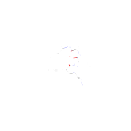 CC(=O)N[C@@H](CCCCN)C(=O)N[C@@H](C)C(=O)N[C@@H](C(=O)N[C@@H](CC(=O)O)C(=O)O)C(C)C